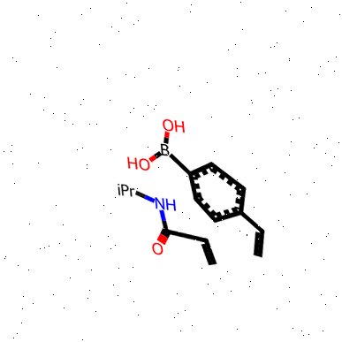 C=CC(=O)NC(C)C.C=Cc1ccc(B(O)O)cc1